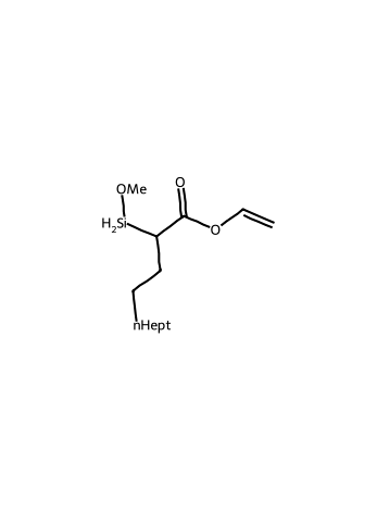 C=COC(=O)C(CCCCCCCCC)[SiH2]OC